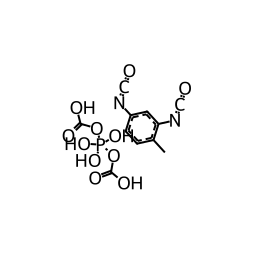 Cc1ccc(N=C=O)cc1N=C=O.O=C(O)OP(O)(O)(O)OC(=O)O